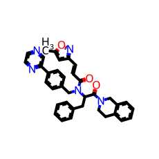 Cc1cc(C=CC(=O)N(Cc2ccc(-c3cnccn3)cc2)C(Cc2ccccc2)C(=O)N2CCc3ccccc3C2)no1